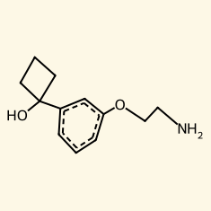 NCCOc1cccc(C2(O)CCC2)c1